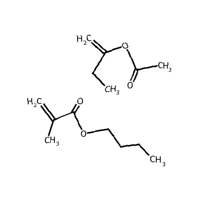 C=C(C)C(=O)OCCCC.C=C(CC)OC(C)=O